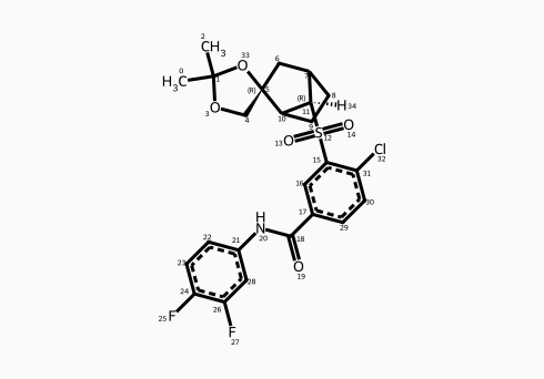 CC1(C)OC[C@]2(CC3CCC2[C@@H]3S(=O)(=O)c2cc(C(=O)Nc3ccc(F)c(F)c3)ccc2Cl)O1